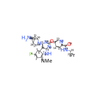 CNc1cc(F)cc2c1[nH]c1nc(Oc3ccc(C(=O)NCC(C)C)nc3)nc(N3CC4CC3C[C@@H]4N)c12